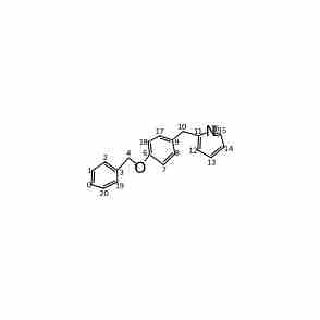 c1ccc(COc2ccc(Cc3ccccn3)cc2)cc1